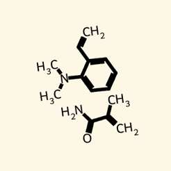 C=C(C)C(N)=O.C=Cc1ccccc1N(C)C